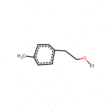 [CH2]COCCc1ccc(C)cc1